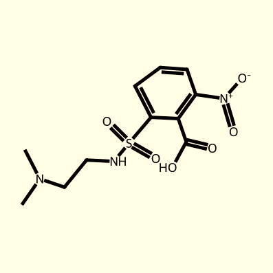 CN(C)CCNS(=O)(=O)c1cccc([N+](=O)[O-])c1C(=O)O